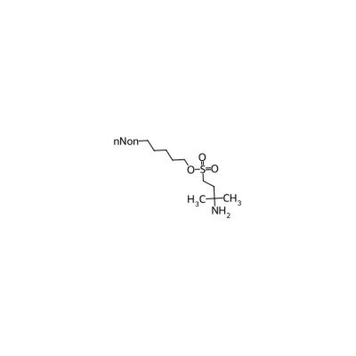 CCCCCCCCCCCCCCOS(=O)(=O)CCC(C)(C)N